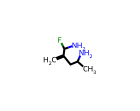 C=C(CC(C)N)C(N)F